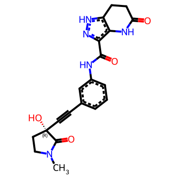 CN1CC[C@@](O)(C#Cc2cccc(NC(=O)c3n[nH]c4c3NC(=O)CC4)c2)C1=O